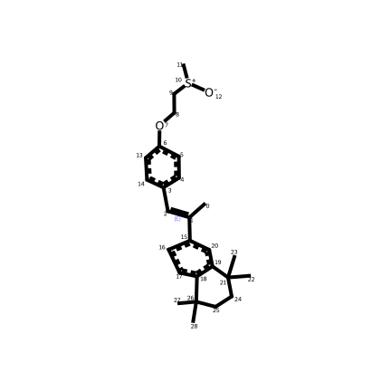 C/C(=C\c1ccc(OCC[S+](C)[O-])cc1)c1ccc2c(c1)C(C)(C)CCC2(C)C